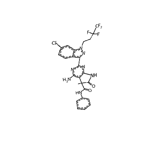 CC1(C(=O)Nc2ccccc2)C(=O)Nc2nc(-c3nn(CCC(F)(F)C(F)(F)F)c4cc(Cl)ccc34)nc(N)c21